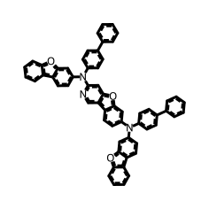 c1ccc(-c2ccc(N(c3ccc4c(c3)oc3ccccc34)c3ccc4c(c3)oc3cc(N(c5ccc(-c6ccccc6)cc5)c5ccc6c(c5)oc5ccccc56)ncc34)cc2)cc1